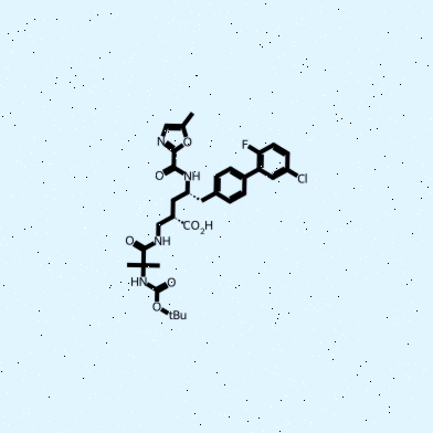 Cc1cnc(C(=O)N[C@H](Cc2ccc(-c3cc(Cl)ccc3F)cc2)C[C@@H](CNC(=O)C(C)(C)NC(=O)OC(C)(C)C)C(=O)O)o1